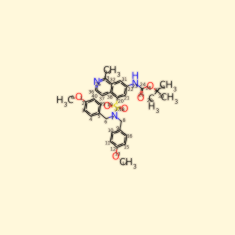 COc1ccc(CN(Cc2ccc(OC)cc2)S(=O)(=O)c2cc(NC(=O)OC(C)(C)C)cc3c(C)nccc23)cc1